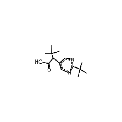 CC(C)(C)c1ncc(C(C(=O)O)C(C)(C)C)cn1